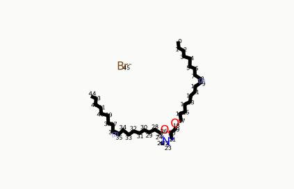 CCCCCCCC/C=C\CCCCCCCCOCC(C[N+](C)(C)C)OCCCCCCCC/C=C\CCCCCCCC.[Br-]